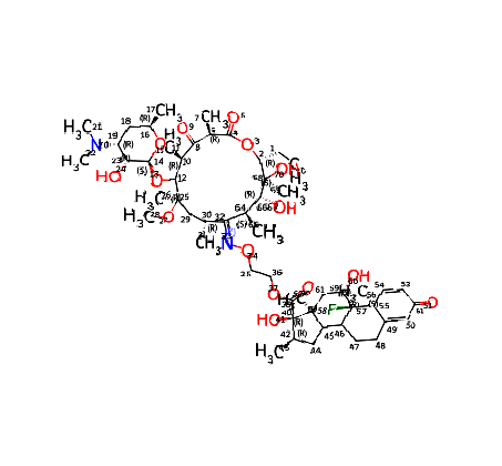 CC[C@H]1OC(=O)[C@H](C)C(=O)[C@H](C)C(O[C@@H]2O[C@H](C)C[C@@H](N(C)C)[C@H]2O)[C@](C)(OC)C[C@@H](C)/C(=N/OCCOC(=O)[C@@]2(O)[C@H](C)CC3C4CCC5=CC(=O)C=C[C@]5(C)[C@@]4(F)[C@@H](O)C[C@@]32C)[C@H](C)[C@@H](O)[C@]1(C)O